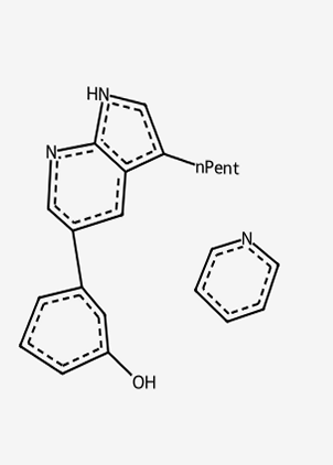 CCCCCc1c[nH]c2ncc(-c3cccc(O)c3)cc12.c1ccncc1